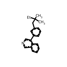 CCC(C)(C)Cc1cccc(-c2cncc3ccccc23)c1